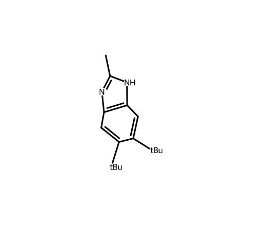 Cc1nc2cc(C(C)(C)C)c(C(C)(C)C)cc2[nH]1